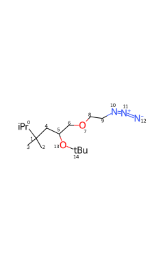 CC(C)C(C)(C)CC(COCCN=[N+]=[N-])OC(C)(C)C